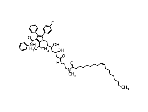 CCCCCCCC/C=C\CCCCCCCC(=O)N(C)CCNC(=O)C[C@H](O)C[C@H](O)CCn1c(-c2ccc(F)cc2)c(-c2ccccc2)c(C(=O)Nc2ccccc2)c1C(C)C